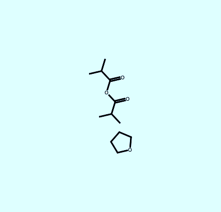 C1CCOC1.CC(C)C(=O)OC(=O)C(C)C